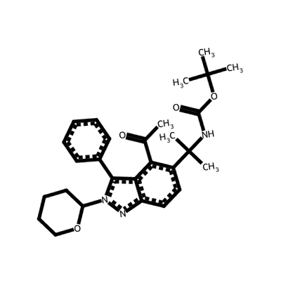 CC(=O)c1c(C(C)(C)NC(=O)OC(C)(C)C)ccc2nn(C3CCCCO3)c(-c3ccccc3)c12